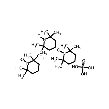 CC1(C)CCCC(C)(C)N1[O].CC1(C)CCCC(C)(C)N1[O].CC1(C)CCCC(C)(C)N1[O].O=P(O)(O)O